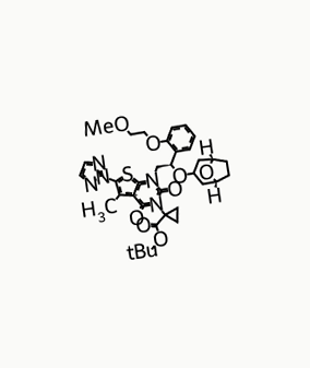 COCCOc1ccccc1[C@H](Cn1c(=O)n(C2(C(=O)OC(C)(C)C)CC2)c(=O)c2c(C)c(-n3nccn3)sc21)OC1C[C@H]2CC[C@@H](C1)O2